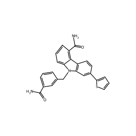 NC(=O)c1cccc(Cn2c3cc(-c4cccs4)c[c]c3c3c(C(N)=O)cccc32)c1